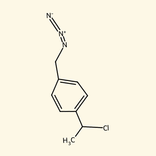 CC(Cl)c1ccc(CN=[N+]=[N-])cc1